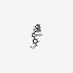 CCc1ccc(-c2ccc(C(=O)N[C@H]3CN4CCC3CC4)o2)cc1.Cl